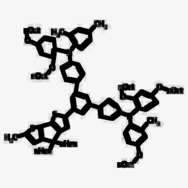 CCCCCCCCOc1ccc(N(c2ccc(-c3cc(-c4ccc(N(c5ccc(C)cc5C)c5ccc(OCCCCCCCC)cc5OCCCCCCCC)cc4)cc(-c4cc5c(s4)-c4sc(C)cc4C5(CCCCCC)CCCCCC)c3)cc2)c2ccc(OCCCCCCCC)cc2OCCCCCCCC)c(C)c1